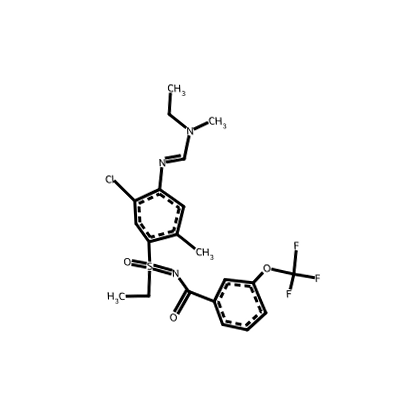 CCN(C)C=Nc1cc(C)c(S(=O)(CC)=NC(=O)c2cccc(OC(F)(F)F)c2)cc1Cl